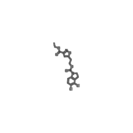 CCOC(=O)c1cc(CCOC(=O)N2CCc3c2ccc(Cl)c3Cl)on1